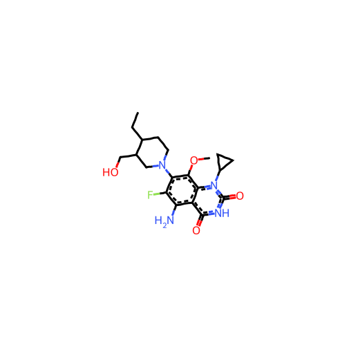 CCC1CCN(c2c(F)c(N)c3c(=O)[nH]c(=O)n(C4CC4)c3c2OC)CC1CO